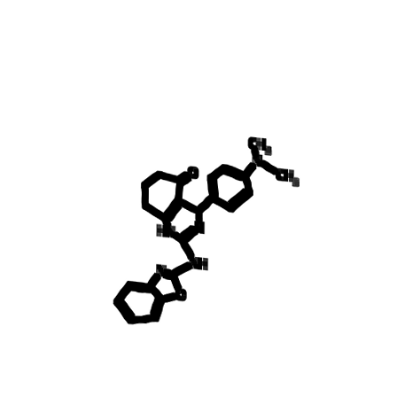 CN(C)c1ccc(C2N=C(Nc3nc4ccccc4o3)NC3=C2C(=O)CCC3)cc1